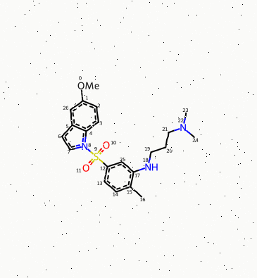 COc1ccc2c(ccn2S(=O)(=O)c2ccc(C)c(NCCCN(C)C)c2)c1